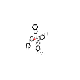 COc1ccc(S(=O)(=O)n2c(=O)n(C(Cc3ccccc3)C(=O)N3CCN(c4ccncc4)CC3)c3cc(Cl)ccc32)cc1